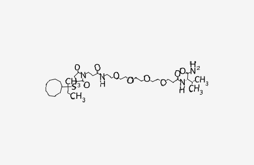 CCC(C)(SC1CC(=O)N(CCC(=O)NCCOCCOCCOCCOCCC(=O)N[C@H](C(N)=O)C(C)C)C1=O)C1CCCCCCCC1